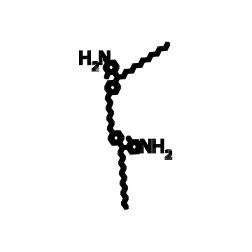 CCCCCCCCCCCCC(c1ccc(CCCCCCCc2ccc(C(CCCCCCCCCCCC)c3ccc(N)cc3C)cc2)cc1)c1ccc(N)cc1C